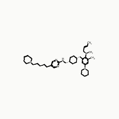 C/C=C/CN(C)c1c(C)cc(N2CCCCC2)cc1C[C@H]1CC[C@@H](CNc2ncc(CCCCCN3CCCCC3)cn2)CC1